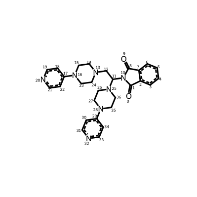 O=C1c2ccccc2C(=O)N1C(CN1CCN(c2ccncc2)CC1)N1CCN(c2ccncc2)CC1